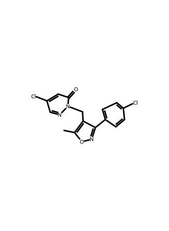 Cc1onc(-c2ccc(Cl)cc2)c1Cn1ncc(Cl)cc1=O